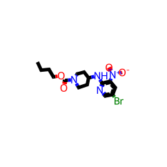 CCCCOC(=O)N1CCC(Nc2ncc(Br)cc2[N+](=O)[O-])CC1